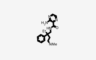 CCC(CCNC)(CNC(=O)c1nccnc1N)c1ccccc1